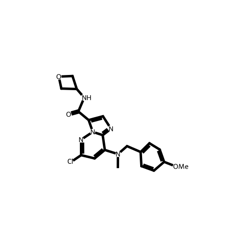 COc1ccc(CN(C)c2cc(Cl)nn3c(C(=O)NC4COC4)cnc23)cc1